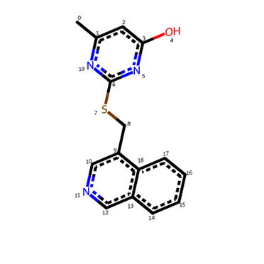 Cc1cc(O)nc(SCc2cncc3ccccc23)n1